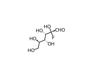 O=C[C@@](O)(F)[C@@H](O)[C@H](O)[C@H](O)CO